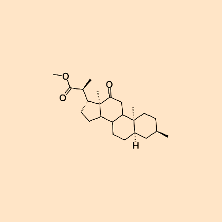 COC(=O)[C@@H](C)[C@H]1CCC2C3CC[C@@H]4C[C@H](C)CC[C@]4(C)C3CC(=O)[C@@]21C